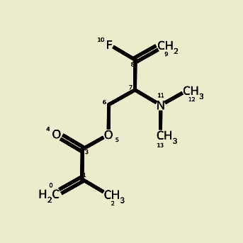 C=C(C)C(=O)OCC(C(=C)F)N(C)C